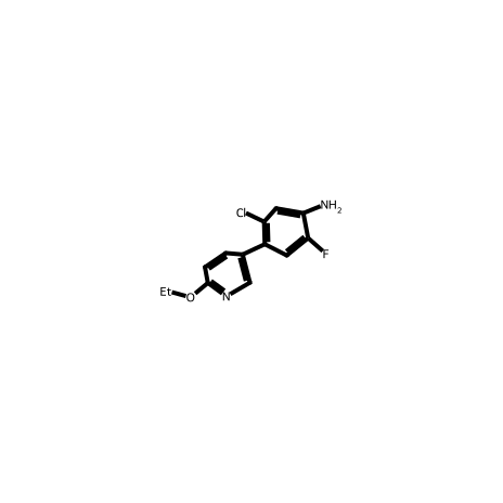 CCOc1ccc(-c2cc(F)c(N)cc2Cl)cn1